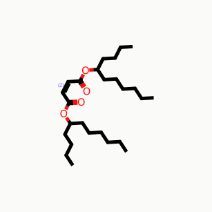 CCCCCCC(CCCC)OC(=O)/C=C\C(=O)OC(CCCC)CCCCCC